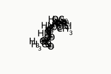 COc1cn(CC(=O)Nc2ccc3[nH]c(C(=O)OCC(OC)C(C)OC=O)cc3c2)c(=O)cc1-c1cc(Cl)ccc1C